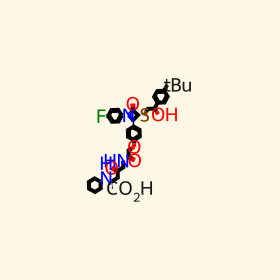 CC(C)(C)c1ccc(C(O)CS[C@H]2C(=O)N(c3ccc(F)cc3)[C@@H]2c2ccc(OCC(=O)NCC(=O)C[C@@H](NC3CCCCC3)C(=O)O)cc2)cc1